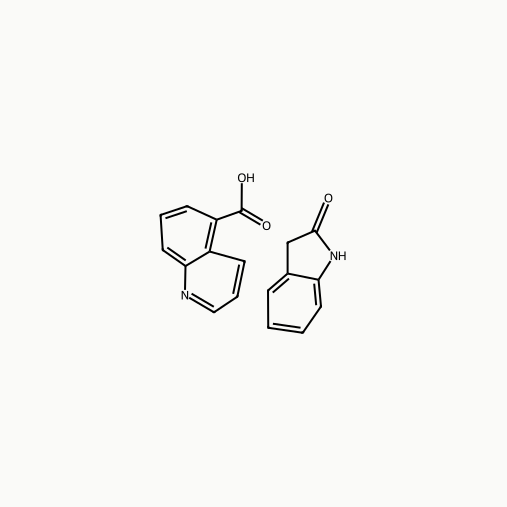 O=C(O)c1cccc2ncccc12.O=C1Cc2ccccc2N1